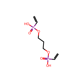 C=CP(=O)(O)OCCCOP(=O)(O)C=C